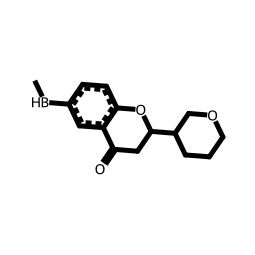 CBc1ccc2c(c1)C(=O)CC(C1CCCOC1)O2